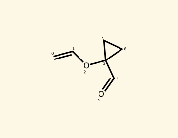 C=COC1([C]=O)CC1